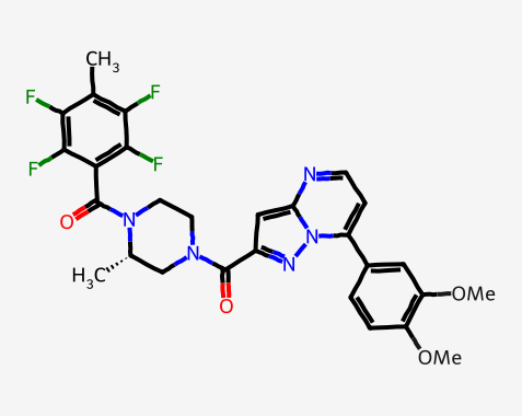 COc1ccc(-c2ccnc3cc(C(=O)N4CCN(C(=O)c5c(F)c(F)c(C)c(F)c5F)[C@@H](C)C4)nn23)cc1OC